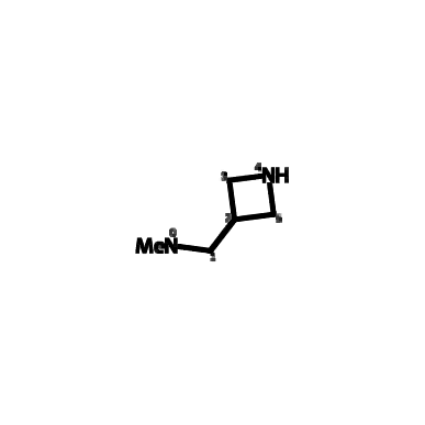 CNCC1CNC1